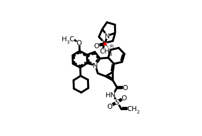 C=CS(=O)(=O)NC(=O)C1=C2Cn3c(cc4c(OC)ccc(C5CCCCC5)c43)C3C(=C21)C=CC[C@H]3C(=O)N1C2CCC1CN(C)C2